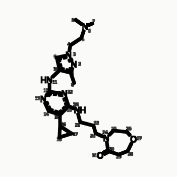 Cc1nn(CCN(C)C)cc1Nc1ncc(C2CC2)c(NCCCN2CCOCCC2=O)n1